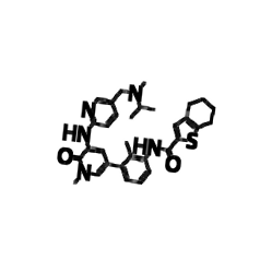 Cc1c(NC(=O)c2cc3c(s2)CCCC3)cccc1-c1cc(Nc2ccc(CN(C)C(C)C)cn2)c(=O)n(C)c1